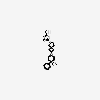 Cc1noc(N2CCC3(CC(N4CCC(C#N)(c5ccccc5)CC4)C3)C2)n1